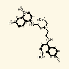 CCCCCCCCCCCN(CCNc1cc[n+](O)c2cc(Cl)ccc12)CCNc1cc[n+](O)c2cc(Cl)ccc12